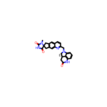 CCC12CC(=O)Nc3cccc(c31)N(Cc1ccc3cc4c(cc3n1)CC1(C4)C(=O)NC(=O)N1C)C2